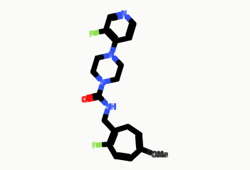 COC1=CCC(CNC(=O)N2CCN(c3ccncc3F)CC2)=C(F)C=C1